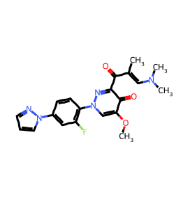 COc1cn(-c2ccc(-n3cccn3)cc2F)nc(C(=O)C(C)=CN(C)C)c1=O